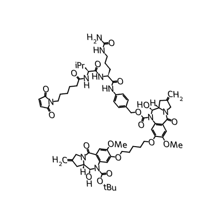 C=C1C[C@H]2[C@H](O)N(C(=O)OCc3ccc(NC(=O)[C@H](CCCNC(N)=O)NC(=O)[C@@H](NC(=O)CCCCCN4C(=O)C=CC4=O)C(C)C)cc3)c3cc(OCCCCCOc4cc5c(cc4OC)C(=O)N4CC(=C)C[C@H]4[C@H](O)N5C(=O)OC(C)(C)C)c(OC)cc3C(=O)N2C1